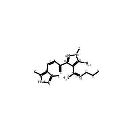 C=C(/C=C\c1c(C)n[nH]c1C)c1nn(C)c(N)c1/C(N)=N\CCC